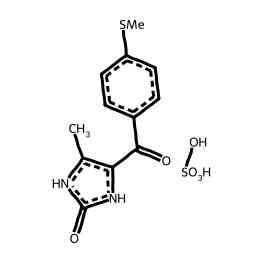 CSc1ccc(C(=O)c2[nH]c(=O)[nH]c2C)cc1.O=S(=O)(O)O